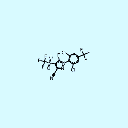 N#Cc1nn(-c2c(Cl)cc(C(F)(F)F)cc2Cl)c(F)c1S(=O)(=O)C(F)(F)F